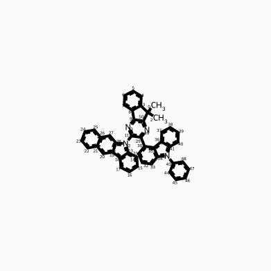 CC1(C)c2ccccc2-c2nc(-n3c4ccccc4c4cc5ccccc5cc43)c(-c3cccc4c3c3ccccc3n4-c3ccccc3)nc21